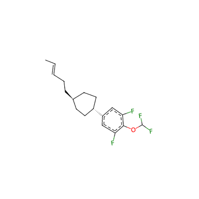 C/C=C/CC[C@H]1CC[C@H](c2cc(F)c(OC(F)F)c(F)c2)CC1